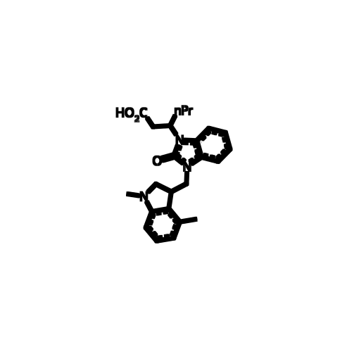 CCCC(CC(=O)O)n1c(=O)n(CC2CN(C)c3cccc(C)c32)c2ccccc21